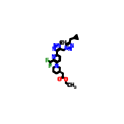 CCOC(=O)C[C@H]1CCCN(c2ccc(-c3nnn(C)c3Cn3cc(CC4CC4)nn3)nc2C(F)F)C1